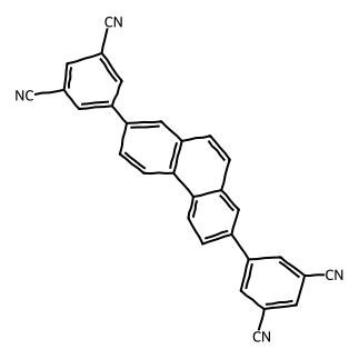 N#Cc1cc(C#N)cc(-c2ccc3c(ccc4cc(-c5cc(C#N)cc(C#N)c5)ccc43)c2)c1